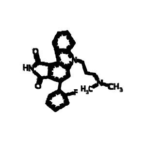 CN(C)CCCn1c2ccccc2c2c3c(c(-c4ccccc4F)cc21)C(=O)NC3=O